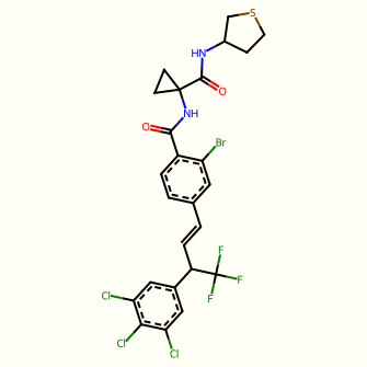 O=C(NC1(C(=O)NC2CCSC2)CC1)c1ccc(/C=C/C(c2cc(Cl)c(Cl)c(Cl)c2)C(F)(F)F)cc1Br